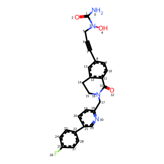 NC(=O)N(O)CC#Cc1ccc2c(c1)CCN(Cc1ccc(-c3ccc(F)cc3)cn1)C2=O